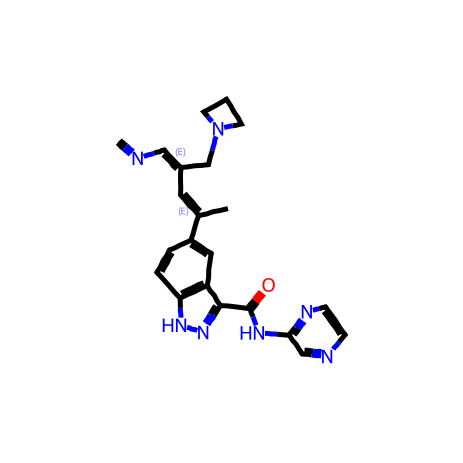 C=N/C=C(\C=C(/C)c1ccc2[nH]nc(C(=O)Nc3cnccn3)c2c1)CN1CCC1